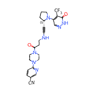 N#Cc1ccc(N2CCN(C(=O)CCNC#C[C@@H]3CCCN3c3cn[nH]c(=O)c3C(F)(F)F)CC2)nc1